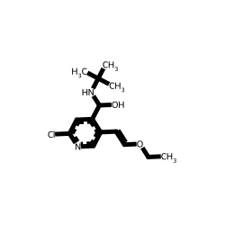 CCO/C=C/c1cnc(Cl)cc1C(O)NC(C)(C)C